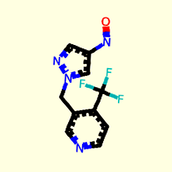 O=Nc1cnn(Cc2cnccc2C(F)(F)F)c1